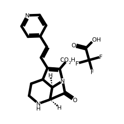 O=C(O)C(F)(F)F.O=C(O)C1=C(/C=C/c2ccncc2)C2CCN[C@@H]3C(=O)N1[C@H]23